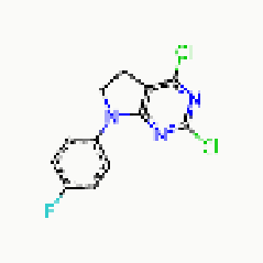 Fc1ccc(N2CCc3c(Cl)nc(Cl)nc32)cc1